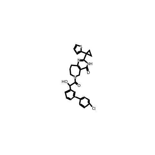 O=C(C(O)c1cccc(-c2ccc(Cl)cc2)c1)N1CCCc2nc(C3(c4cccs4)CC3)[nH]c(=O)c2C1